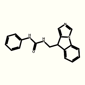 O=C(NCC1c2ccccc2-n2cncc21)Nc1ccccc1